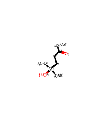 COC(=O)CC[Si](O)(OC)OC